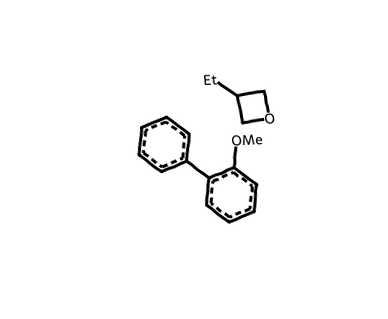 CCC1COC1.COc1ccccc1-c1ccccc1